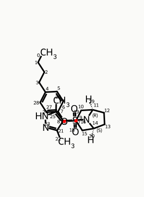 CCCCc1ccc(OC2C[C@H]3CC[C@@H](C2)N3S(=O)(=O)c2c(C)n[nH]c2C)cc1